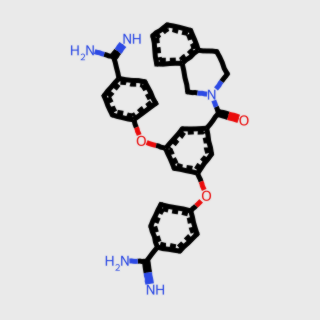 N=C(N)c1ccc(Oc2cc(Oc3ccc(C(=N)N)cc3)cc(C(=O)N3CCc4ccccc4C3)c2)cc1